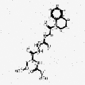 CCCCOC[C@@H](NC(=O)OC(C)(C)C)C(=O)NNC(=O)SCC(=O)N1CCCc2ccccc21